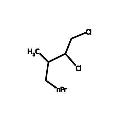 CCCCC(C)C(Cl)CCl